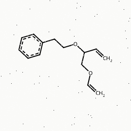 C=COCC(C=C)OCCc1ccccc1